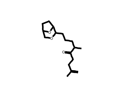 C=C(C)CCC(=O)C(C)CCCC1OCC2CCC1O2